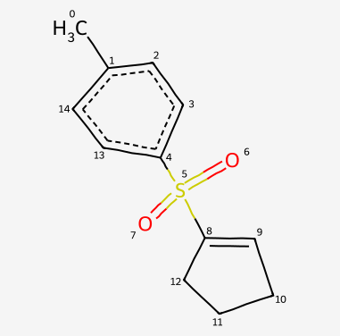 Cc1ccc(S(=O)(=O)C2=CCCC2)cc1